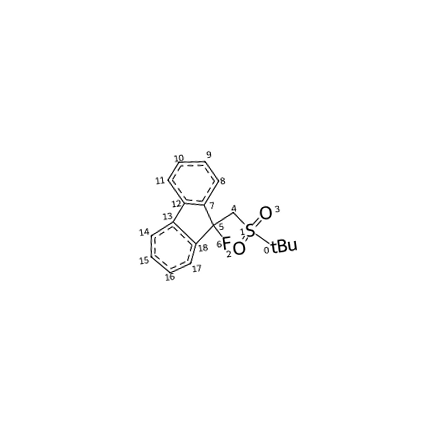 CC(C)(C)S(=O)(=O)CC1(F)c2ccccc2-c2ccccc21